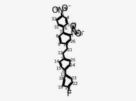 O=[N+]([O-])c1ccc(-c2ccc([CH]Cc3ccc(-c4ccc(F)cc4)cc3)cc2[N+](=O)[O-])cc1